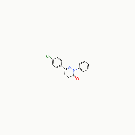 O=C1CCC(c2ccc(Cl)cc2)=NN1c1ccccc1